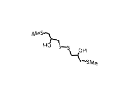 CSCC(O)CSSCC(O)CSC